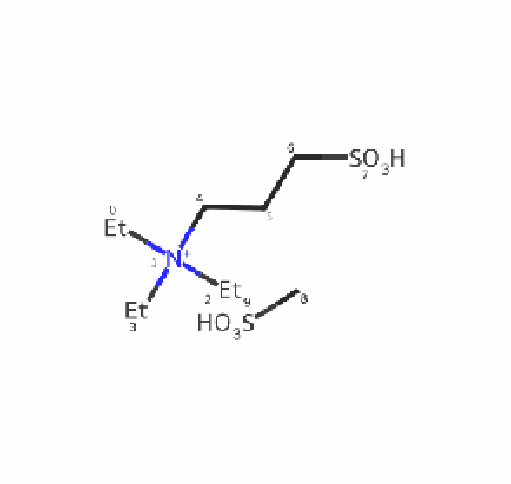 CC[N+](CC)(CC)CCCS(=O)(=O)O.CS(=O)(=O)O